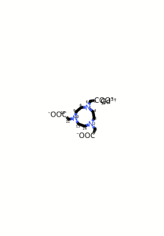 O=C([O-])CN1CCN(CC(=O)[O-])CCN(CC(=O)[O-])CC1.[Gd+3]